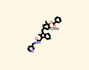 COc1cc(/C=C2/C(C)=C(CC(=O)NCc3cccnc3)c3cc(F)ccc32)cc(C)c1OC(=O)c1ccccc1